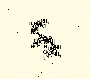 N=C(NCCNC(=O)c1ccc(C(=O)NCCNC(=N)NC(=O)c2nc(Cl)c(N)nc2N)c(O)c1O)NC(=O)c1nc(Cl)c(N)nc1N.O=C(O)C(F)(F)F